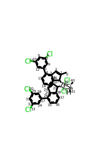 CC1=Cc2c(-c3cc(Cl)cc(Cl)c3)cccc2[CH]1[Zr]([Cl])([Cl])([CH]1C(C)=Cc2c(-c3cc(Cl)cc(Cl)c3)cccc21)[SiH](C)C